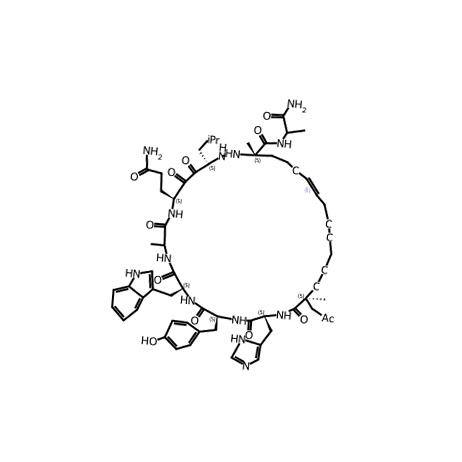 CC(=O)C[C@]1(C)CCCCCC/C=C/CCC[C@@](C)(C(=O)NC(C)C(N)=O)NN[C@@H](CC(C)C)C(=O)C(=O)[C@H](CCC(N)=O)NC(=O)C(C)NC(=O)[C@H](Cc2c[nH]c3ccccc23)NC(=O)[C@H](Cc2ccc(O)cc2)NC(=O)[C@H](Cc2cnc[nH]2)NC1=O